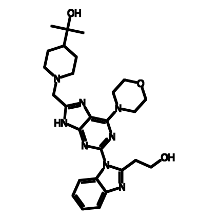 CC(C)(O)C1CCN(Cc2nc3c(N4CCOCC4)nc(-n4c(CCO)nc5ccccc54)nc3[nH]2)CC1